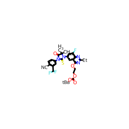 CCc1nc(OCCOC(=O)OC(C)(C)C)c2cc(N3C(=S)N(c4ccc(C#N)c(C(F)F)c4)C(=O)C3(C)C)cc(F)c2n1